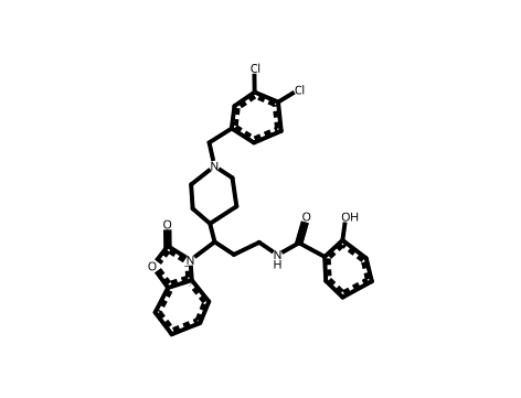 O=C(NCCC(C1CCN(Cc2ccc(Cl)c(Cl)c2)CC1)n1c(=O)oc2ccccc21)c1ccccc1O